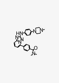 CN1CCN(c2ccc(Nc3nc4cccc(-c5ccc(C(=O)N(C)C)cc5)n4n3)cc2)CC1